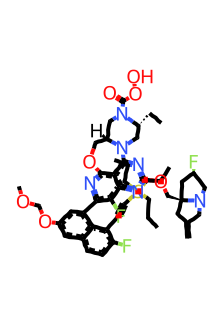 C=C1CN2C[C@H](F)C[C@@]2(COc2nc3c4c(nc(-c5cc(OCOC)cc6ccc(F)c(C#CS(CCC)(CCC)CCC)c56)c(F)c4n2)OC[C@@H]2CN(C(=O)OO)[C@H](CC)CN32)C1